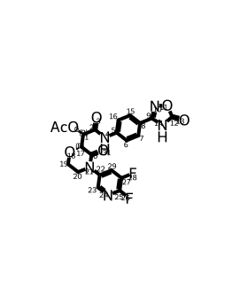 CC(=O)O[C@@H](C(=O)Nc1ccc(-c2noc(=O)[nH]2)cc1)[C@H]1OCCN(c2cnc(F)c(F)c2)C1=O